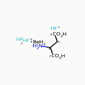 F.F.F.NC(CC(=O)O)C(=O)O.[BeH2]